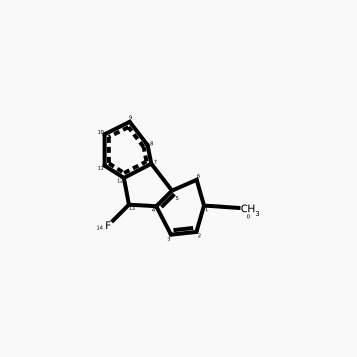 CC1C=CC2=C(C1)c1ccccc1C2F